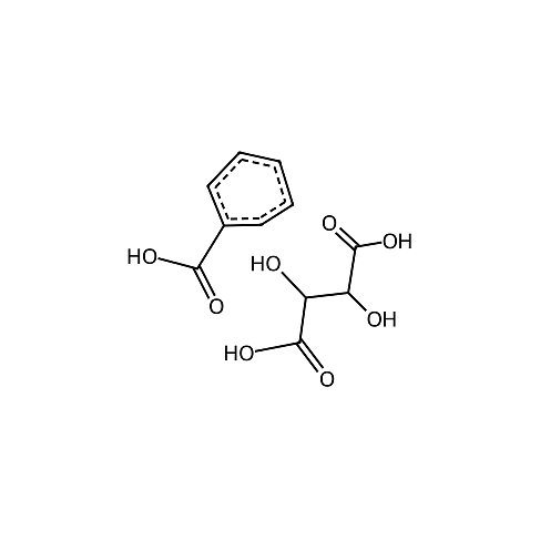 O=C(O)C(O)C(O)C(=O)O.O=C(O)c1ccccc1